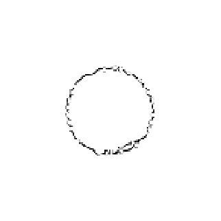 B1CCCCCCCCCCCCCCCCCCCCCCCCCCCCCCC2CCCC1CCC2